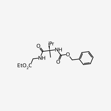 CCOC(=O)CNC(=O)[C@@](C)(NC(=O)OCc1ccccc1)C(C)C